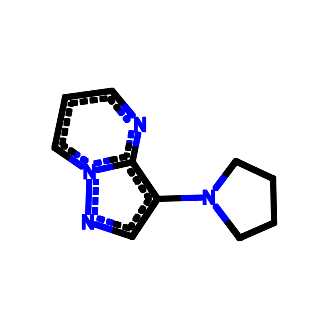 c1cnc2c(N3CCCC3)cnn2c1